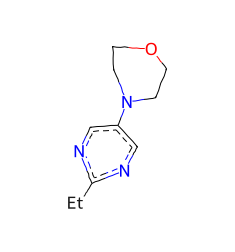 CCc1ncc(N2CCOCC2)cn1